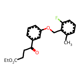 CCOC(=O)CCC(=O)c1cccc(OCc2c(C)cccc2F)c1